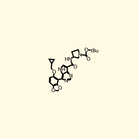 CC(C)(C)OC(=O)N1CCC(NC(=O)c2c[nH]c3c(-c4c(OCC5CC5)ccc5c4OCO5)ncnc23)C1